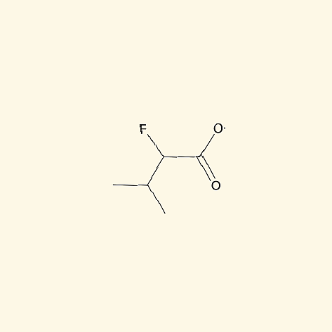 CC(C)C(F)C([O])=O